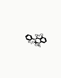 CC1(C)Nc2cccc(Cl)c2[C@H](O)N1c1ccccc1